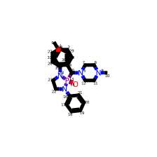 Cc1ccc(C(N2CCN(C)CC2)P2(=O)N(c3ccccc3)CCN2c2ccccc2)cc1